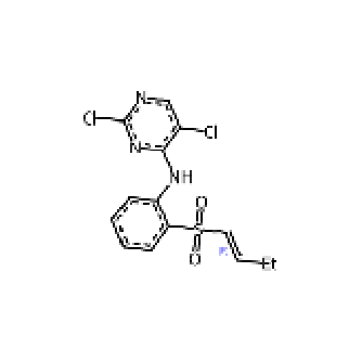 CC/C=C/S(=O)(=O)c1ccccc1Nc1nc(Cl)ncc1Cl